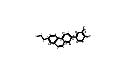 CCCc1ccc2c(ccc3cc(-c4ccc(F)c(F)c4)ccc32)c1